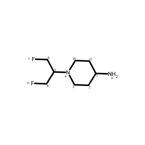 NC1CCN(C(CF)CF)CC1